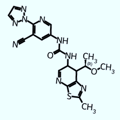 CO[C@H](C)C1c2nc(C)sc2N=CC1NC(=O)Nc1cnc(-n2nccn2)c(C#N)c1